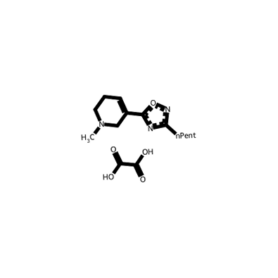 CCCCCc1noc(C2=CCCN(C)C2)n1.O=C(O)C(=O)O